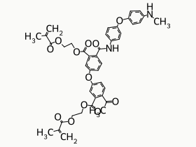 C=C(C)C(=O)OCCOC(=O)c1cc(Oc2ccc(C(=O)Nc3ccc(Oc4ccc(NC)cc4)cc3)c(C(=O)OCCOC(=O)C(=C)C)c2)ccc1C(C)=O